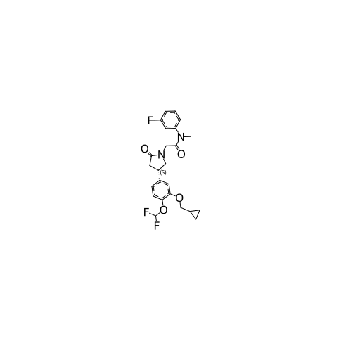 CN(C(=O)CN1C[C@H](c2ccc(OC(F)F)c(OCC3CC3)c2)CC1=O)c1cccc(F)c1